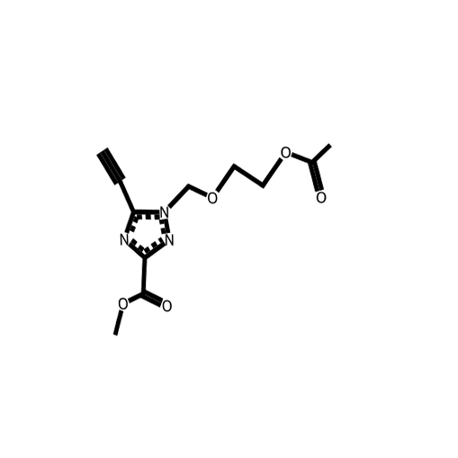 C#Cc1nc(C(=O)OC)nn1COCCOC(C)=O